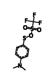 CN(C)c1ccc(SOS(=O)(=O)C(F)(F)F)cc1